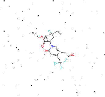 CCOC(=O)C(CC(C)(C)F)n1cc(CC=O)c(C(F)(F)F)cc1=O